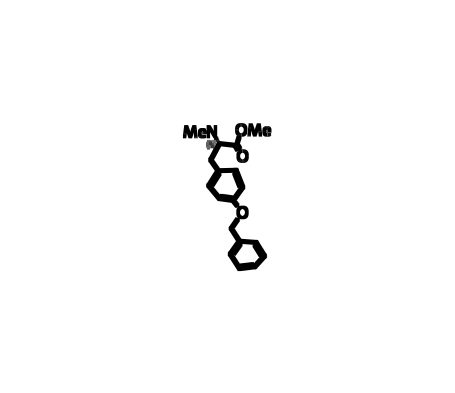 CN[C@@H](Cc1ccc(OCc2ccccc2)cc1)C(=O)OC